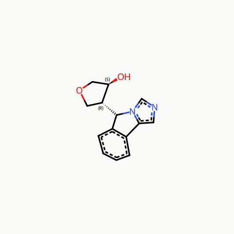 O[C@@H]1COC[C@H]1C1c2ccccc2-c2cncn21